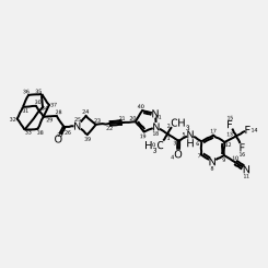 CC(C)(C(=O)Nc1cnc(C#N)c(C(F)(F)F)c1)n1cc(C#CC2CN(C(=O)CC34CC5CC(CC(C5)C3)C4)C2)cn1